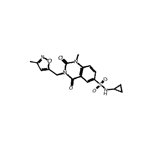 Cc1cc(Cn2c(=O)c3cc(S(=O)(=O)NC4CC4)ccc3n(C)c2=O)on1